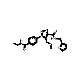 CCNC(=O)c1ccc(-n2nnc(C(=O)NCc3cccs3)c2CSC)cc1